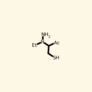 CCN(N)C(CS)C(C)=O